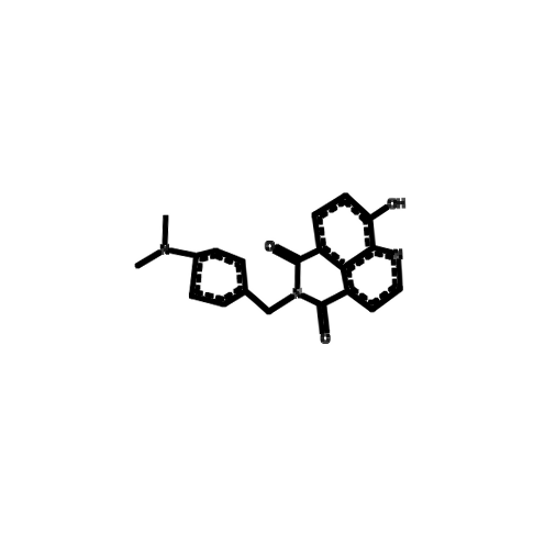 CN(C)c1ccc(CN2C(=O)c3ccnc4c(O)ccc(c34)C2=O)cc1